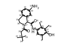 Cc1cc(NC(=O)C2c3cc(N)ccc3CCN2C(=O)CC(C)(C)C)c(C)c(C)c1O